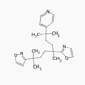 CC(C)(CCC(C)(CCC(C)(C)c1ccon1)c1ncco1)c1ccncc1